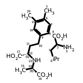 CC(C)CC(N)C(=O)O.Cc1ccc(CC[C@H](N[C@H](C)C(=O)O)C(=O)O)cc1C